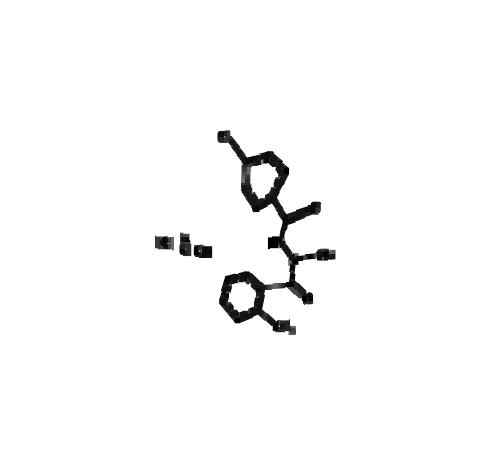 Cc1ccccc1C(=O)N(NC(=O)c1ccc(Cl)cc1)C(C)(C)C.Cl.Cl.Cl